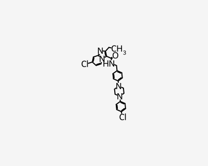 CCc1nc2cc(Cl)ccn2c1C(=O)NCc1ccc(N2CCN(c3ccc(Cl)cc3)CC2)cc1